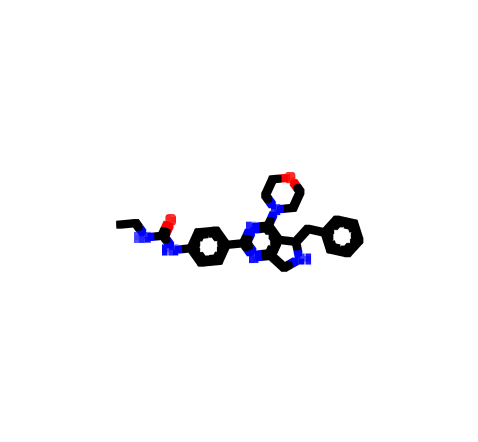 CCNC(=O)Nc1ccc(-c2nc3c(c(N4CCOCC4)n2)C(Cc2ccccc2)NC3)cc1